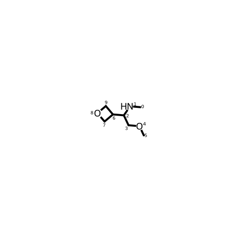 CNC(COC)C1COC1